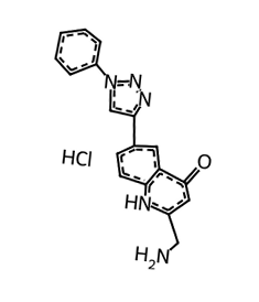 Cl.NCc1cc(=O)c2cc(-c3cn(-c4ccccc4)nn3)ccc2[nH]1